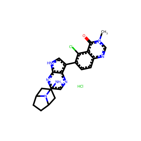 Cl.Cn1cnc2ccc(-c3c[nH]c4nc(N5C6CCC5CC(N)C6)cnc34)c(Cl)c2c1=O